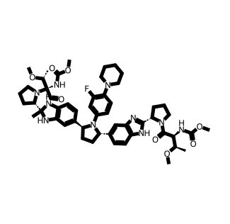 COC(=O)N[C@H](C(=O)N1CCC[C@H]1c1nc2cc([C@@H]3CC[C@@H](c4ccc5c(c4)NC(C)([C@@H]4CCCN4[C@@](C=O)(NC(=O)OC)[C@@H](C)OC)N5)N3c3ccc(N4CCCCC4)c(F)c3)ccc2[nH]1)[C@@H](C)OC